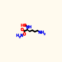 NCCCC[C@H](NO)C(=O)ON